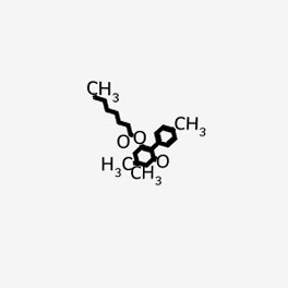 CCCCCCCC(=O)OC1=C(c2ccc(C)cc2)C(=O)CC(C)(C)C1